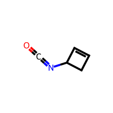 O=C=NC1C=CC1